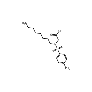 CCCCCCCCN(CC(=O)O)S(=O)(=O)c1ccc(C)cc1